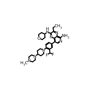 CCc1nc2c(N)ncc(-c3ccc(N4CCC(N5CCN(C)CC5)CC4)c(C(F)F)c3)c2nc1NC1CCOCC1